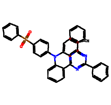 N#Cc1ccc(N(c2ccc(S(=O)(=O)c3ccccc3)cc2)c2ccccc2-c2nc(-c3ccccc3)nc(-c3ccccc3)n2)cc1